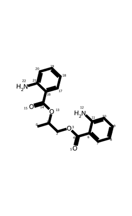 CC(COC(=O)c1ccccc1N)OC(=O)c1ccccc1N